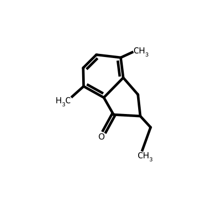 CCC1Cc2c(C)ccc(C)c2C1=O